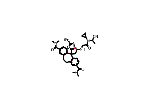 CC(C)c1nnc(C2(C[C@H](C)NCC(=O)N(C(C)C#N)C3CC3)c3ccc(C(=O)N(C)C)cc3CCc3cc(C(=O)N(C)C)ccc32)o1